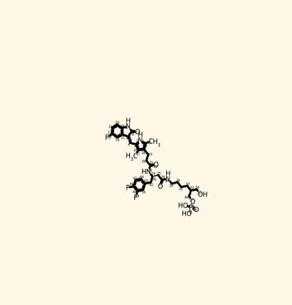 Cc1[nH]c(/C=C2\C(=O)Nc3ccc(F)cc32)c(C)c1CCC(=O)N[C@@H](CC(=O)NCCCCC(CO)COP(=O)(O)O)Cc1ccc(F)c(F)c1